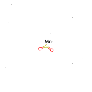 O=S=O.[Mn]